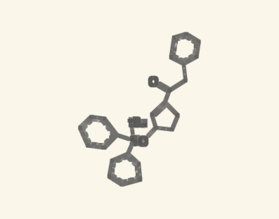 CC(C)(C)[Si](OC1C=C(C(=O)Cc2ccccc2)CC1)(c1ccccc1)c1ccccc1